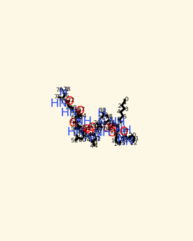 CCCCCCCC[C@H](NC(=O)c1cccn1C(=O)c1ccc[nH]1)C(=O)N[C@@H](CC(C)C)C(=O)NC(C)(C)C(=O)N[C@@H](CC(C)C)C(=O)N[C@@H](CC(C)C)C(=O)NC(C)(C)C(=O)NC(C)(C)C(=O)NCCC(=O)N[C@@H](C)CN(C)C